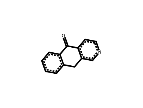 O=C1c2ccccc2Cc2cnccc21